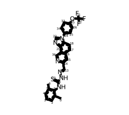 Cc1cccc(C)c1NC(=S)NN=Cc1cc2ccc3c(ncn3-c3ccc(OC(F)(F)F)cc3)c2cn1